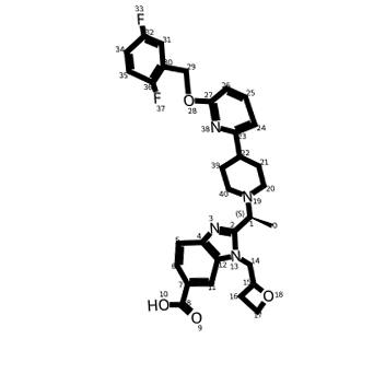 C[C@@H](c1nc2ccc(C(=O)O)cc2n1CC1CCO1)N1CCC(c2cccc(OCc3cc(F)ccc3F)n2)CC1